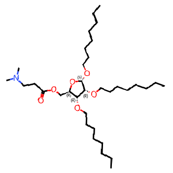 CCCCCCCCO[C@H]1O[C@H](COC(=O)CCN(C)C)[C@@H](OCCCCCCCC)[C@H]1OCCCCCCCC